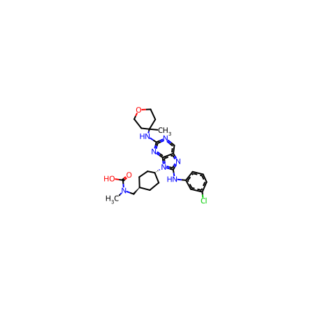 CN(C[C@H]1CC[C@H](n2c(Nc3cccc(Cl)c3)nc3cnc(NC4(C)CCOCC4)nc32)CC1)C(=O)O